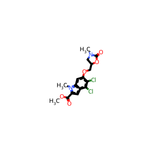 COC(=O)c1cc2c(Cl)c(Cl)c(OCC3CN(C)C(=O)O3)cc2n1C